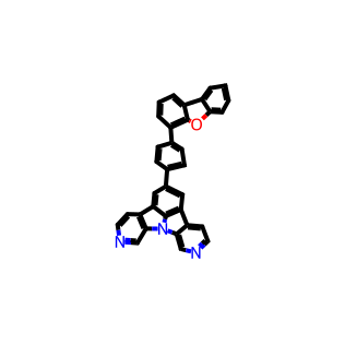 c1ccc2c(c1)oc1c(-c3ccc(-c4cc5c6ccncc6n6c7cnccc7c(c4)c56)cc3)cccc12